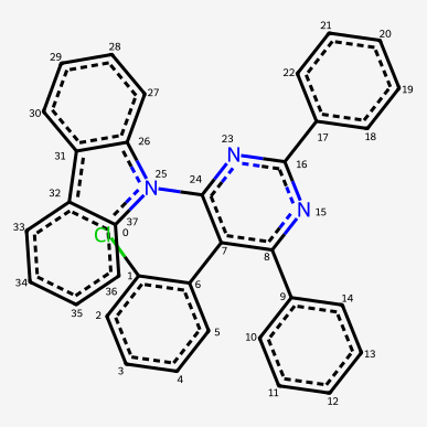 Clc1ccccc1-c1c(-c2ccccc2)nc(-c2ccccc2)nc1-n1c2ccccc2c2ccccc21